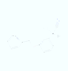 [2H]C([2H])(C#N)c1cccc(OCc2ccccc2)c1